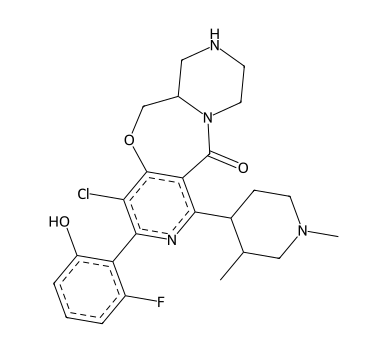 CC1CN(C)CCC1c1nc(-c2c(O)cccc2F)c(Cl)c2c1C(=O)N1CCNCC1CO2